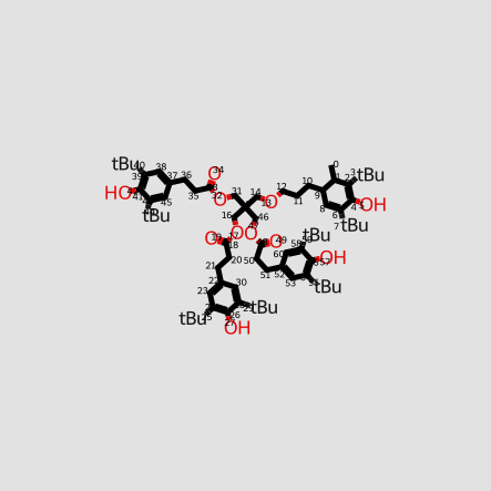 CC1C(C(C)(C)C)=C(O)C(C(C)(C)C)=CC1CCCOCC(COC(=O)CCc1cc(C(C)(C)C)c(O)c(C(C)(C)C)c1)(COC(=O)CCc1cc(C(C)(C)C)c(O)c(C(C)(C)C)c1)COC(=O)CCc1cc(C(C)(C)C)c(O)c(C(C)(C)C)c1